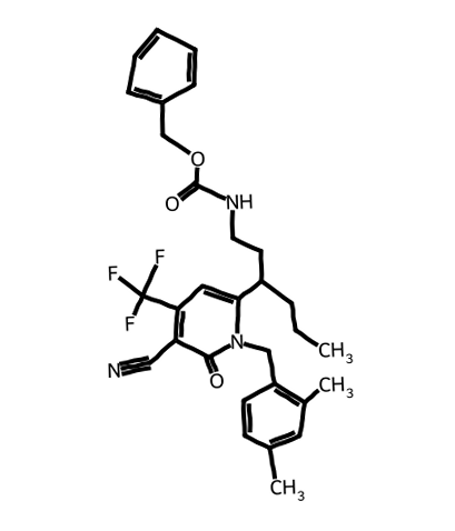 CCCC(CCNC(=O)OCc1ccccc1)c1cc(C(F)(F)F)c(C#N)c(=O)n1Cc1ccc(C)cc1C